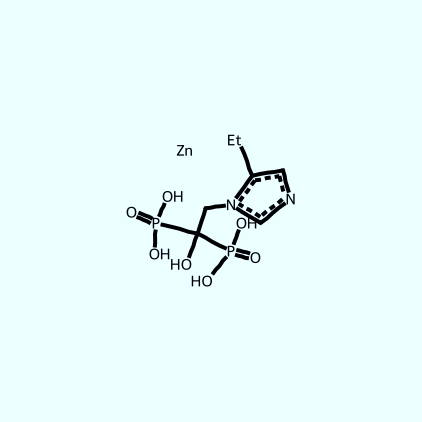 CCc1cncn1CC(O)(P(=O)(O)O)P(=O)(O)O.[Zn]